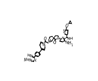 CN/C=N\C(=N)c1ccc(C2=CCN(C(=O)CN3CC[C@]4(CCN(c5ccc(N)c(C(=N)c6ccc(OC7CC7)nc6)n5)C4=O)C3)CC2)cc1